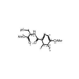 COC(=O)[C@@H](CC(C)C)NC(=O)C1=CC=C(OC)[C@@H](F)C1C